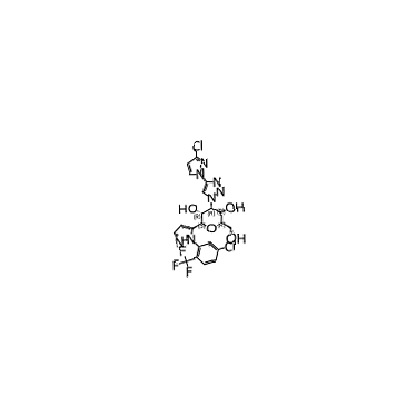 OC[C@H]1O[C@@H](c2ccnn2-c2cc(Cl)ccc2C(F)(F)F)[C@H](O)[C@@H](n2cc(-n3ccc(Cl)n3)nn2)[C@H]1O